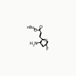 CCCCOC(=O)C=Cc1ncc(F)cc1N